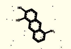 Nc1cccc2cc3c(O)c(O)ccc3cc12